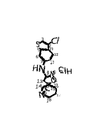 Cl.Clc1csc2cc(NC3=NO[C@@]4(C3)CN3CCC4CC3)ccc12